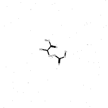 CCOC(=S)S.COC(=O)C(C)S